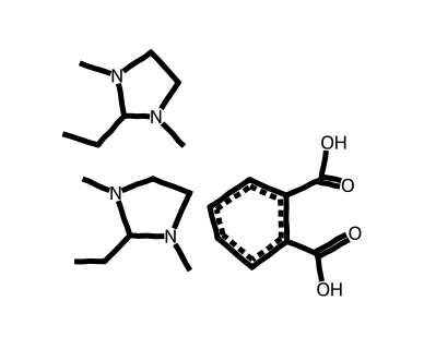 CCC1N(C)CCN1C.CCC1N(C)CCN1C.O=C(O)c1ccccc1C(=O)O